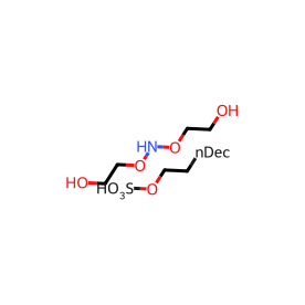 CCCCCCCCCCCCOS(=O)(=O)O.OCCONOCCO